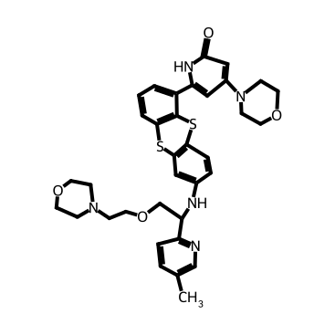 Cc1ccc(C(COCCN2CCOCC2)Nc2ccc3c(c2)Sc2cccc(-c4cc(N5CCOCC5)cc(=O)[nH]4)c2S3)nc1